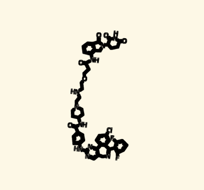 O=C1CCC(N2Cc3c(NC(=O)CCOCCNCCN4CCC(NC(=O)c5ccc(Nc6ncc7c(n6)-c6ccc(Cl)cc6C(c6c(F)cccc6F)=NC7)cc5)CC4)cccc3C2=O)C(=O)N1